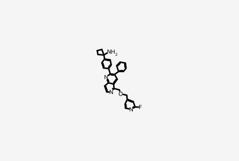 NC1(c2ccc(-c3nc4ccnc(COCc5ccnc(F)c5)c4cc3-c3ccccc3)cc2)CCC1